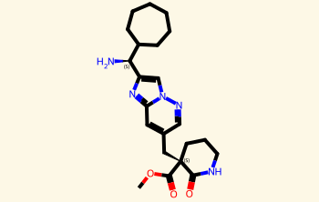 COC(=O)[C@]1(Cc2cnn3cc([C@@H](N)C4CCCCCC4)nc3c2)CCCNC1=O